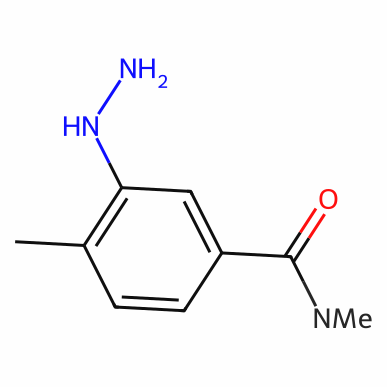 CNC(=O)c1ccc(C)c(NN)c1